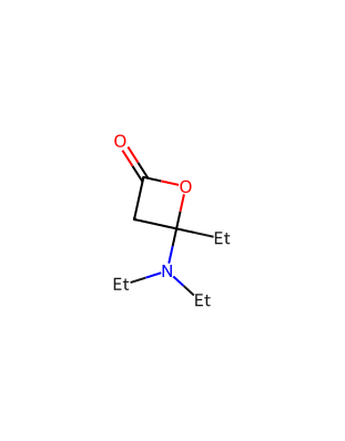 CCN(CC)C1(CC)CC(=O)O1